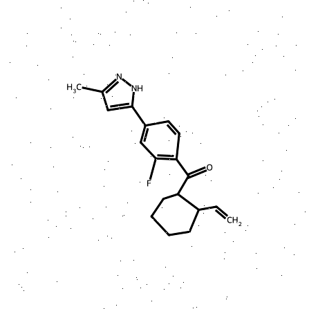 C=CC1CCCCC1C(=O)c1ccc(-c2cc(C)n[nH]2)cc1F